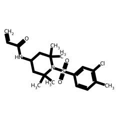 C=CC(=O)NC1CC(C)(C)N(S(=O)(=O)c2ccc(C)c(Cl)c2)C(C)(C)C1